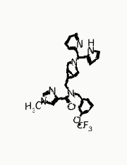 Cn1cnc(C(=O)N(Cc2cccc(OC(F)(F)F)c2)CC2C3CN(C(c4ccccn4)c4ccc[nH]4)CC23)c1